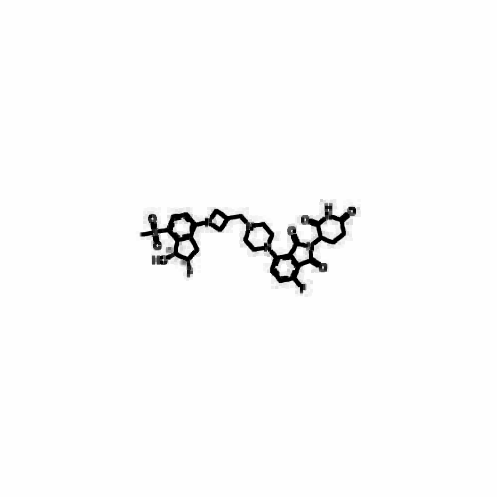 CS(=O)(=O)c1ccc(N2CC(CN3CCN(c4ccc(F)c5c4C(=O)N(C4CCC(=O)NC4=O)C5=O)CC3)C2)c2c1[C@H](O)[C@H](F)C2